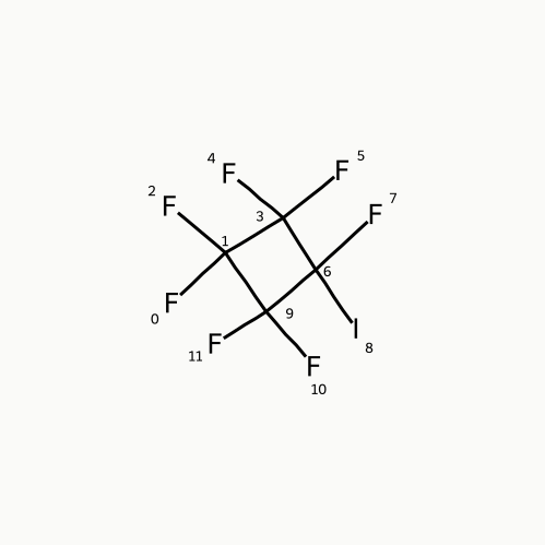 FC1(F)C(F)(F)C(F)(I)C1(F)F